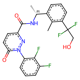 Cc1c([C@@H](C)NC(=O)c2ccc(=O)n(-c3cccc(F)c3F)n2)cccc1C(F)(F)CO